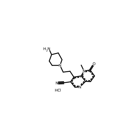 Cl.Cn1c(=O)ccc2ncc(C#N)c(CCN3CCC(N)CC3)c21